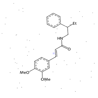 CCC(CNC(=O)/C=C/c1ccc(OC)c(OC)c1)c1ccccc1